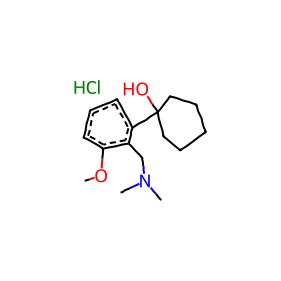 COc1cccc(C2(O)CCCCC2)c1CN(C)C.Cl